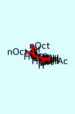 CCCCCCCC/C=C/CCCCCCCC(=O)OCC(COP(=O)(O)OCCNC(=O)CCCCC(=O)NCCCO[C@@H]1OC(CO)[C@H](O)[C@H](O[C@H]2OC(CO)[C@H](O)[C@H](O)C2NC(C)=O)C1O[C@@H]1OC(C)[C@@H](O)[C@H](O)C1O)OC(=O)CCCCCCC/C=C/CCCCCCCC